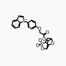 O=C(COc1ccc(-[s+]2ccc3ccccc32)cc1)OC1C2CC3C(O2)C1OS3(=O)=O